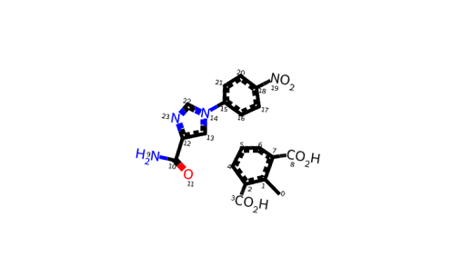 Cc1c(C(=O)O)cccc1C(=O)O.NC(=O)c1cn(-c2ccc([N+](=O)[O-])cc2)cn1